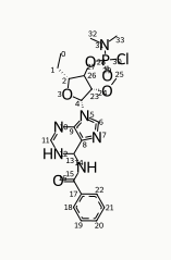 CC[C@H]1O[C@@H](n2cnc3c2N=CNC3NC(=O)c2ccccc2)[C@@H](OC)C1OP(=O)(Cl)N(C)C